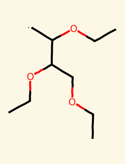 [CH2]C(OCC)C(COCC)OCC